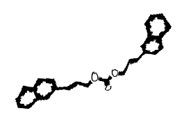 O=C(OCC=Cc1ccc2ccccc2c1)OCC=Cc1ccc2ccccc2c1